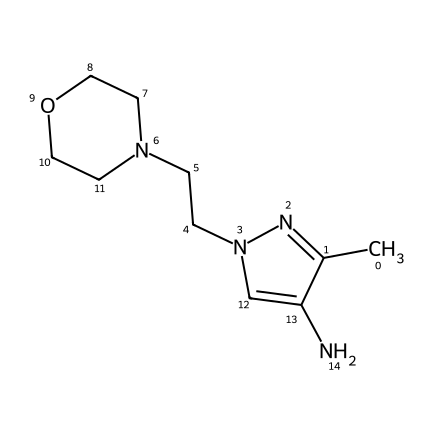 Cc1nn(CCN2CCOCC2)cc1N